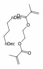 C=C(C)C(=O)OCCOC(=O)C(=C)C.CCCCCCCCCCCCCCCCCCCCCCC